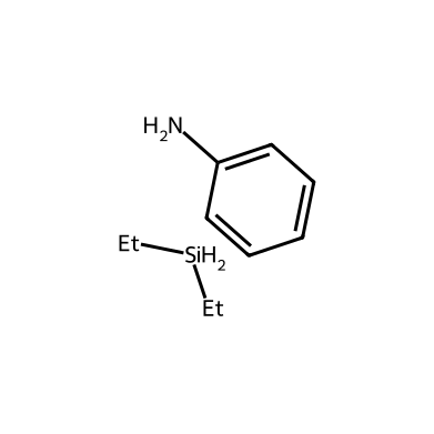 CC[SiH2]CC.Nc1ccccc1